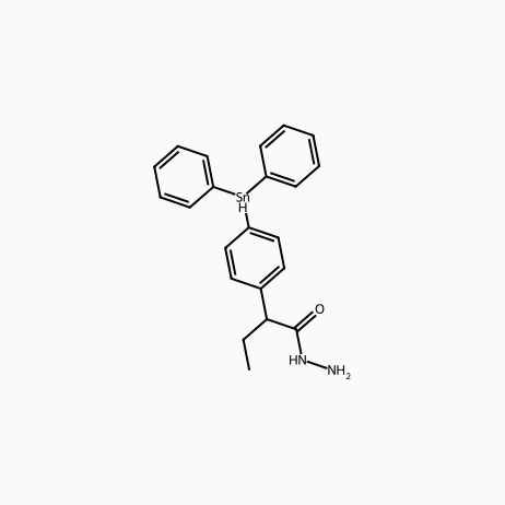 CCC(C(=O)NN)c1cc[c]([SnH]([c]2ccccc2)[c]2ccccc2)cc1